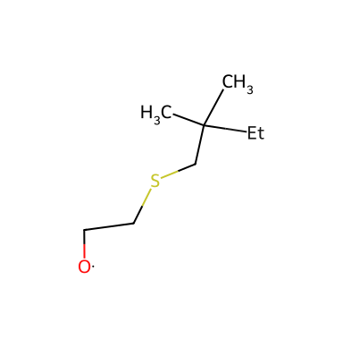 CCC(C)(C)CSCC[O]